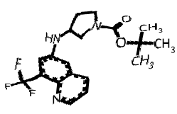 CC(C)(C)OC(=O)N1CCC(Nc2cc(C(F)(F)F)c3ncccc3c2)C1